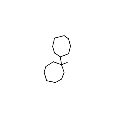 CC1(C2CCCCCCC2)CCCCCCC1